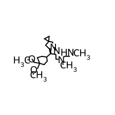 CNCCN(C)Cc1nn2c(c1C1CCC(COC)(COC)CC1)CC1(CC1)C2